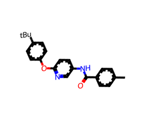 Cc1ccc(C(=O)Nc2ccc(Oc3ccc(C(C)(C)C)cc3)nc2)cc1